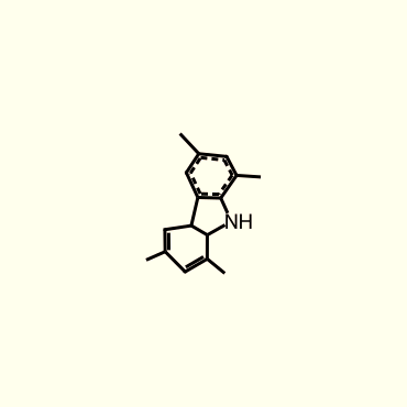 CC1=CC2c3cc(C)cc(C)c3NC2C(C)=C1